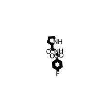 O=C(NS(=O)(=O)c1ccc(F)cc1)C1CCCN1